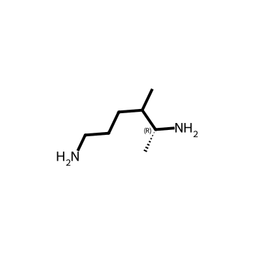 CC(CCCN)[C@@H](C)N